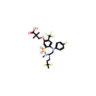 CN1[C@H](CCC(C)(F)F)CN(c2ccc(F)cc2)c2cc(C(F)(F)F)c(OCC(C)(C)C(=O)O)cc2S1(=O)=O